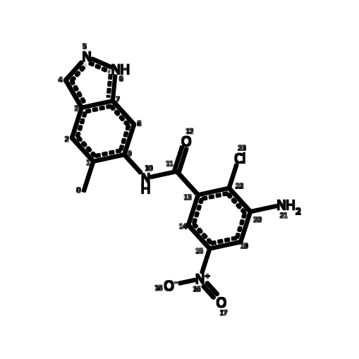 Cc1cc2cn[nH]c2cc1NC(=O)c1cc([N+](=O)[O-])cc(N)c1Cl